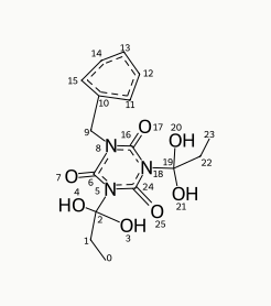 CCC(O)(O)n1c(=O)n(Cc2ccccc2)c(=O)n(C(O)(O)CC)c1=O